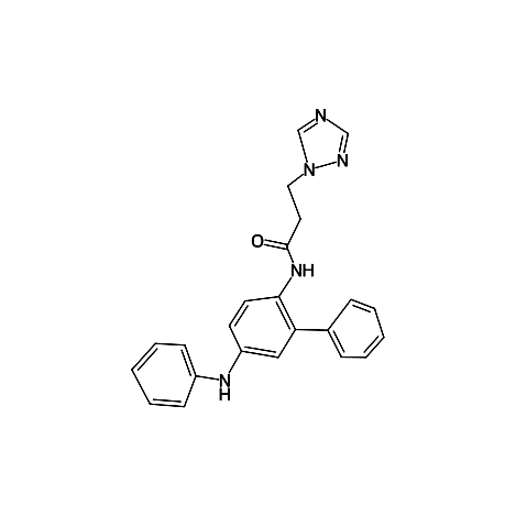 O=C(CCn1cncn1)Nc1ccc(Nc2ccccc2)cc1-c1ccccc1